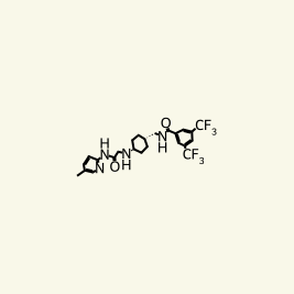 Cc1ccc(NC(=O)CN[C@H]2CC[C@@H](CNC(=O)c3cc(C(F)(F)F)cc(C(F)(F)F)c3)CC2)nc1